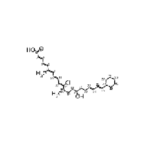 CC(/C=C/C=C/C(=O)O)=C\C=C\C=C(/Cl)[C@@H](C)CC[C@H](O)CC/C=C/C=C/C1CCCCC1